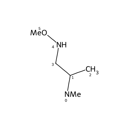 CNC(C)CNOC